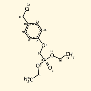 CCOP(=O)(COc1ccc(CCl)cc1)OCC